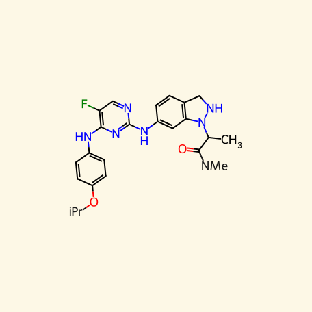 CNC(=O)C(C)N1NCc2ccc(Nc3ncc(F)c(Nc4ccc(OC(C)C)cc4)n3)cc21